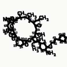 C=CCC1/C=C(\C)CC(C)CC(OC)C2OC(O)(C(=O)C(=O)N3CCCCC3C(=O)OC(C(C)=CC3CCC(N)C(OCC=Cc4ccccc4)C3)C(C)C(O)CC1=O)C(C)CC2OC